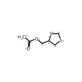 CC(=O)OCC1CS[CH]S1